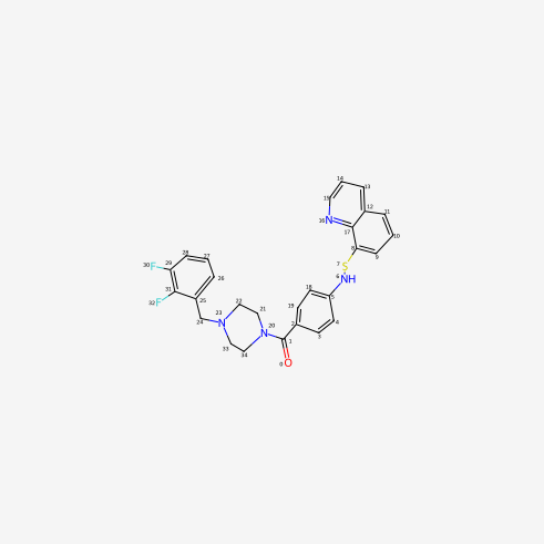 O=C(c1ccc(NSc2cccc3cccnc23)cc1)N1CCN(Cc2cccc(F)c2F)CC1